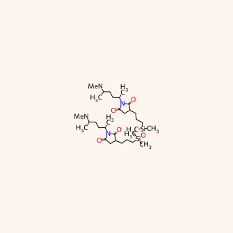 CNC(C)CCC(C)N1C(=O)CC(CCC[Si](C)(C)O[Si](C)(C)CCCC2CC(=O)N(C(C)CCC(C)NC)C2=O)C1=O